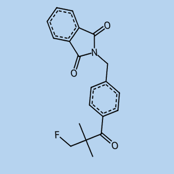 CC(C)(CF)C(=O)c1ccc(CN2C(=O)c3ccccc3C2=O)cc1